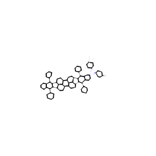 CC(C)(C)c1ccc(N(c2ccc(C(C)(C)C)cc2)c2ccc3c(-c4ccccc4)c4c(c(-c5ccccc5)c3c2)-c2ccc3c5ccc6c7c(ccc(c8ccc-4c2c83)c75)-c2c-6c(-c3ccccc3)c3ccccc3c2-c2ccccc2)cc1